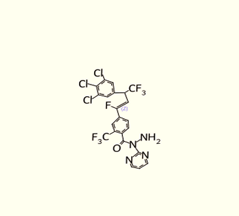 NN(C(=O)c1ccc(/C(F)=C/C(c2cc(Cl)c(Cl)c(Cl)c2)C(F)(F)F)cc1C(F)(F)F)c1ncccn1